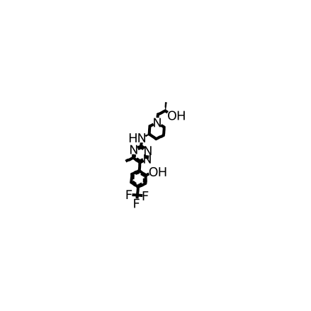 Cc1nc(N[C@@H]2CCCN(C[C@@H](C)O)C2)nnc1-c1ccc(C(F)(F)F)cc1O